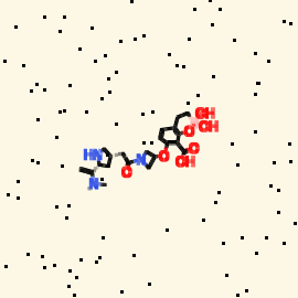 C=C([C@H]1C[C@@H](CC(=O)N2CC(Oc3ccc4c(c3C(=O)O)O[B-](O)(O)CC4)C2)CN1)N(C)C